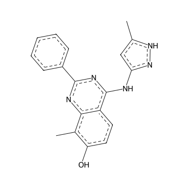 Cc1cc(Nc2nc(-c3ccccc3)nc3c(C)c(O)ccc23)n[nH]1